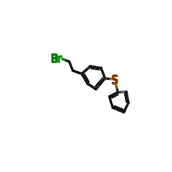 BrCCc1ccc(Sc2ccccc2)cc1